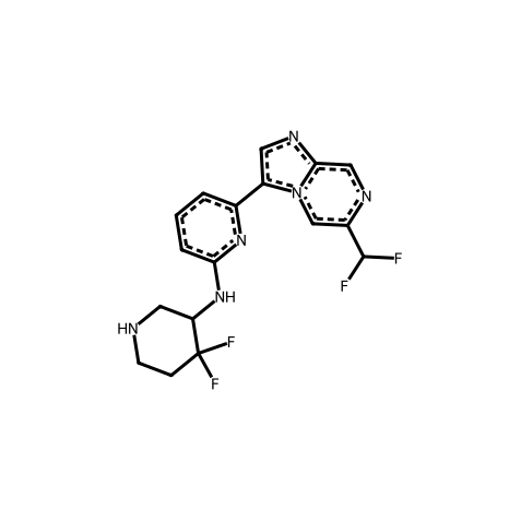 FC(F)c1cn2c(-c3cccc(NC4CNCCC4(F)F)n3)cnc2cn1